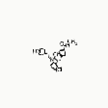 COC(=O)c1ccc(Cc2c(C)n(CCC3CCNCC3)c3ccccc23)cc1.Cl